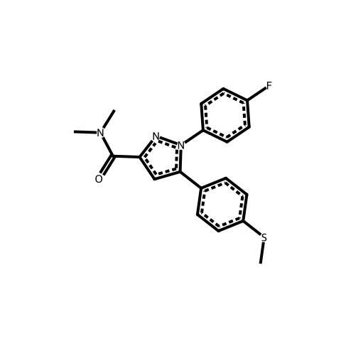 CSc1ccc(-c2cc(C(=O)N(C)C)nn2-c2ccc(F)cc2)cc1